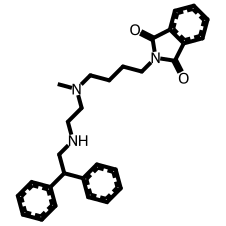 CN(CCCCN1C(=O)c2ccccc2C1=O)CCNCC(c1ccccc1)c1ccccc1